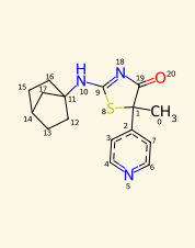 CC1(c2ccncc2)SC(NC23CCC(CC2)C3)=NC1=O